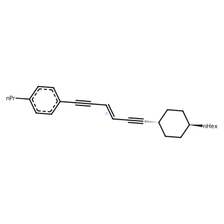 CCCCCC[C@H]1CC[C@H](C#C/C=C/C#Cc2ccc(CCC)cc2)CC1